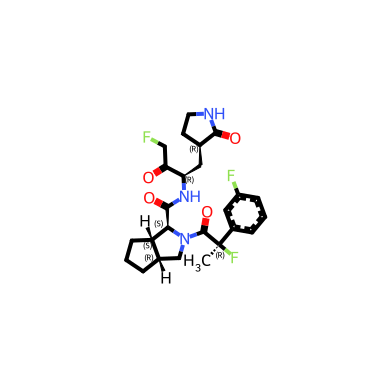 C[C@](F)(C(=O)N1C[C@@H]2CCC[C@@H]2[C@H]1C(=O)N[C@H](C[C@H]1CCNC1=O)C(=O)CF)c1cccc(F)c1